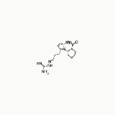 CC(C)C(=O)c1ccccc1-n1c(CC/C=N/NC(=N)N)ccc1[N+](=O)[O-]